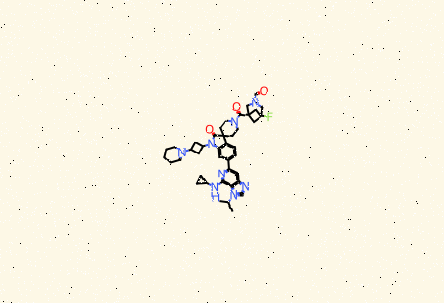 CC(C)n1cnc2cc(-c3ccc4c(c3)N(C3CC(N5CCCCC5)C3)C(=O)C43CCN(C(=O)C45CN(C=O)CC(F)(C4)C5)CC3)nc(NC3CC3)c21